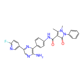 Cc1c(C(=O)Nc2ccc(-c3nc(-c4ccc(F)nc4)cnc3N)cc2)c(=O)n(-c2ccccc2)n1C